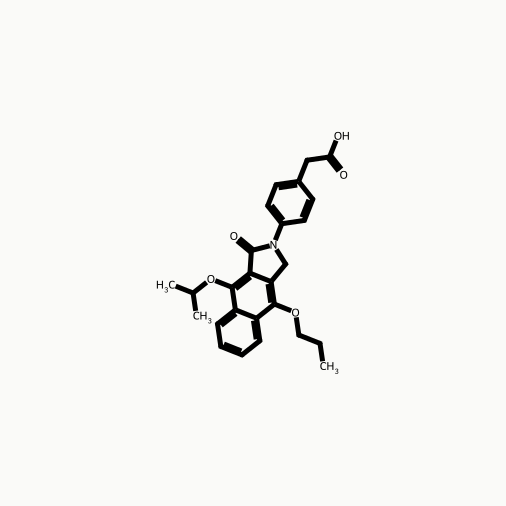 CCCOc1c2c(c(OC(C)C)c3ccccc13)C(=O)N(c1ccc(CC(=O)O)cc1)C2